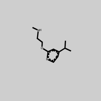 CNCCOc1cc(C(C)C)ccn1